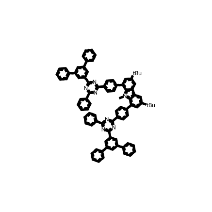 Cn1c2c(-c3ccc(-c4nc(-c5ccccc5)nc(-c5cc(-c6ccccc6)cc(-c6ccccc6)c5)n4)cc3)cc(C(C)(C)C)cc2c2cc(C(C)(C)C)cc(-c3ccc(-c4nc(-c5ccccc5)nc(-c5cc(-c6ccccc6)cc(-c6ccccc6)c5)n4)cc3)c21